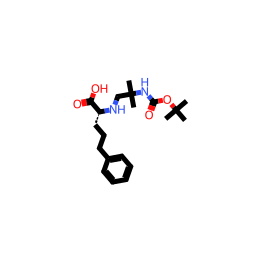 CC(C)(CN[C@H](CCCc1ccccc1)C(=O)O)NC(=O)OC(C)(C)C